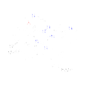 COc1ccc(CN(Cc2ccc(OC)cc2)c2nc(-c3cccc(C#N)c3)c(-c3ocnc3C)n3nc(Cc4ccccn4)nc23)cc1